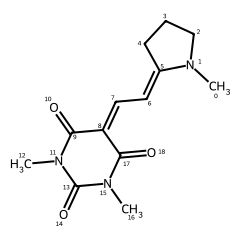 CN1CCCC1=CC=C1C(=O)N(C)C(=O)N(C)C1=O